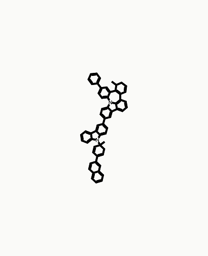 CC1CC=CC2=C1c1cc(-c3ccccc3)ccc1-n1c3ccc(-c4ccc5c(c4)c4ccccc4n5C4(C)C=CC(c5ccc6ccccc6c5)=CC4)cc3c3cccc2c31